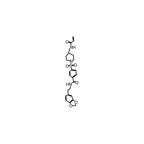 C=CC(=O)NCC1CCN(S(=O)(=O)c2ccc(C(=O)NCCc3ccc4c(c3)OCO4)cc2)CC1